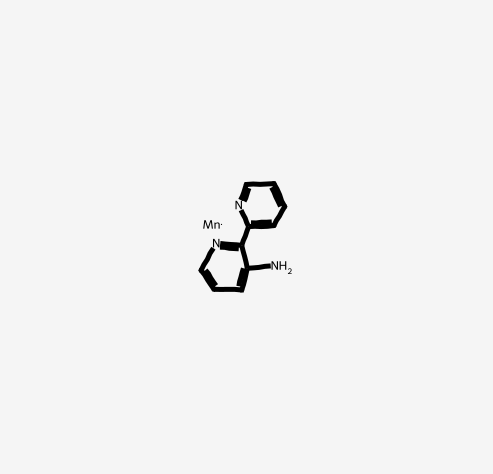 Nc1cccnc1-c1ccccn1.[Mn]